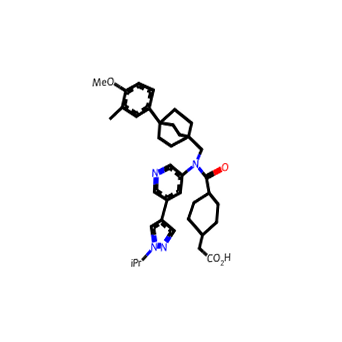 COc1ccc(C23CCC(CN(C(=O)C4CCC(CC(=O)O)CC4)c4cncc(-c5cnn(C(C)C)c5)c4)(CC2)CC3)cc1C